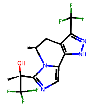 C[C@H]1Cc2c(C(F)(F)F)n[nH]c2-c2cnc([C@@](C)(O)C(F)(F)F)n21